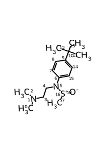 CN(C)CCN(c1ccc(C(C)(C)C)cc1)[S+](C)[O-]